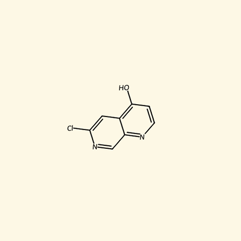 Oc1ccnc2cnc(Cl)cc12